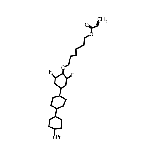 C=CC(=O)OCCCCCCOC1C(F)CC(C2CCC(C3CCC(CCC)CC3)CC2)CC1F